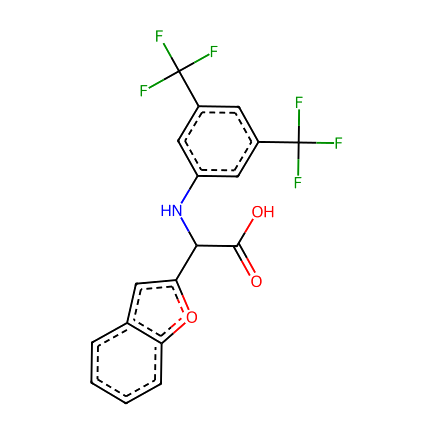 O=C(O)C(Nc1cc(C(F)(F)F)cc(C(F)(F)F)c1)c1cc2ccccc2o1